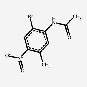 CC(=O)Nc1cc(C)c([N+](=O)[O-])cc1Br